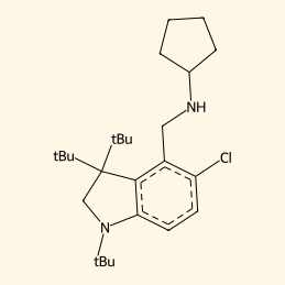 CC(C)(C)N1CC(C(C)(C)C)(C(C)(C)C)c2c1ccc(Cl)c2CNC1CCCC1